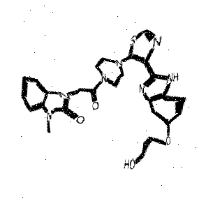 Cn1c(=O)n(CC(=O)N2CCN(c3scnc3-c3nc4cc(OCCO)ccc4[nH]3)CC2)c2ccccc21